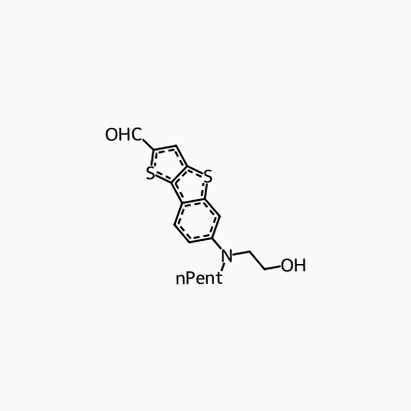 CCCCCN(CCO)c1ccc2c(c1)sc1cc(C=O)sc12